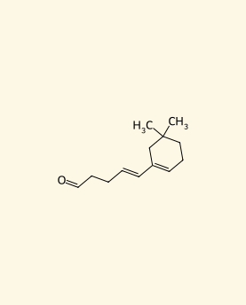 CC1(C)CCC=C(C=CCCC=O)C1